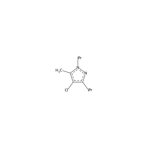 Cc1c(Cl)c(C(C)C)nn1C(C)C